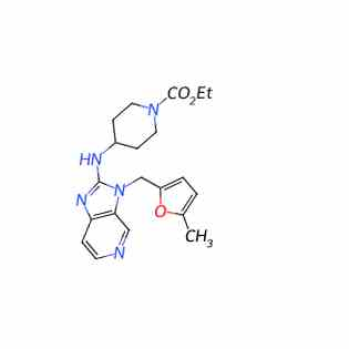 CCOC(=O)N1CCC(Nc2nc3ccncc3n2Cc2ccc(C)o2)CC1